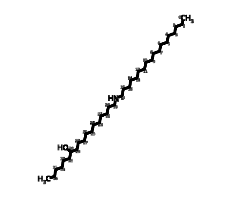 CCCCCCCCCCCCCCCCCCNCCCCCCCCCCCC(O)CCCCCC